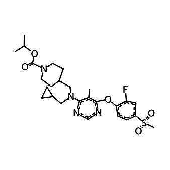 Cc1c(Oc2ccc(S(C)(=O)=O)cc2F)ncnc1N(CC1CC1)CC1CCN(C(=O)OC(C)C)CC1